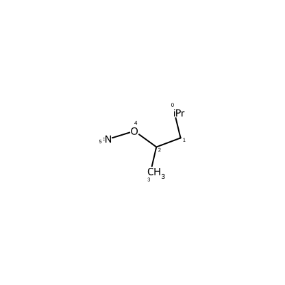 CC(C)CC(C)O[N]